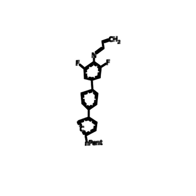 C=CC=Nc1c(F)cc(-c2ccc(-c3ccc(CCCCC)cc3)cc2)cc1F